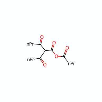 CCCC(=O)OC(=O)C(C(=O)CCC)C(=O)CCC